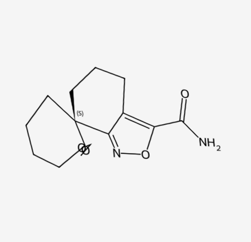 NC(=O)c1onc2c1CCC[C@@]21CCCCC12OCCO2